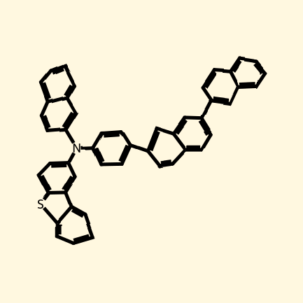 c1ccc2cc(-c3ccc4ccc(-c5ccc(N(c6ccc7ccccc7c6)c6ccc7sc8ccccc8c7c6)cc5)cc4c3)ccc2c1